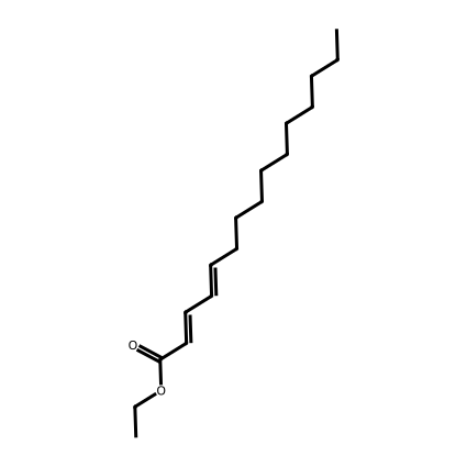 CCCCCCCCCCC=CC=CC(=O)OCC